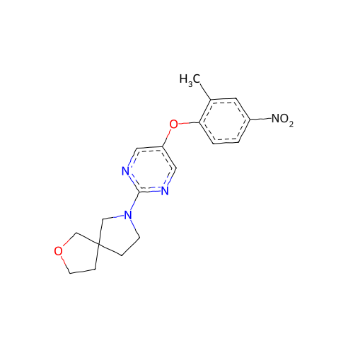 Cc1cc([N+](=O)[O-])ccc1Oc1cnc(N2CCC3(CCOC3)C2)nc1